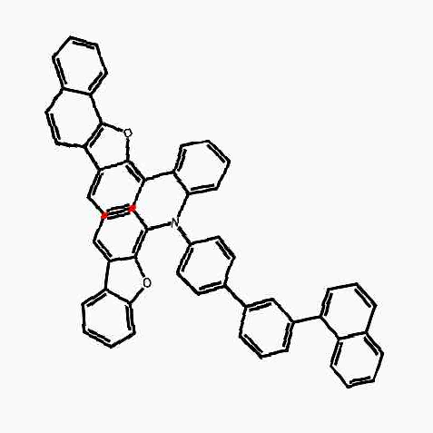 c1cc(-c2ccc(N(c3ccccc3-c3cccc4c3oc3c5ccccc5ccc43)c3cccc4c3oc3ccccc34)cc2)cc(-c2cccc3ccccc23)c1